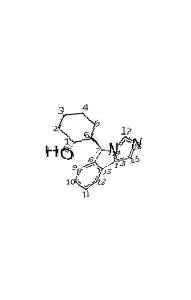 O[C@@H]1CCCCC1[C@@H]1c2ccccc2-c2cncn21